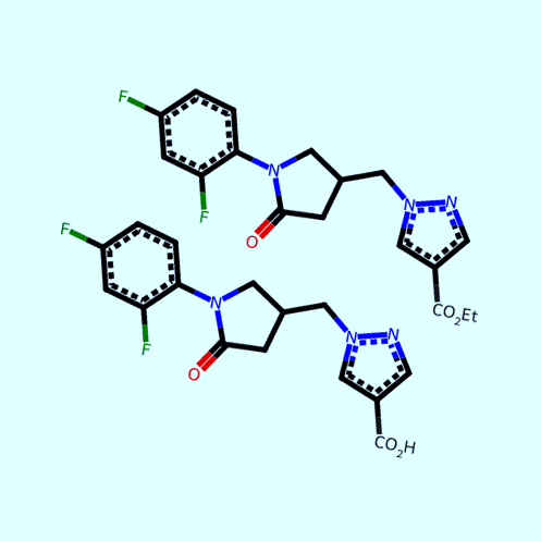 CCOC(=O)c1cnn(CC2CC(=O)N(c3ccc(F)cc3F)C2)c1.O=C(O)c1cnn(CC2CC(=O)N(c3ccc(F)cc3F)C2)c1